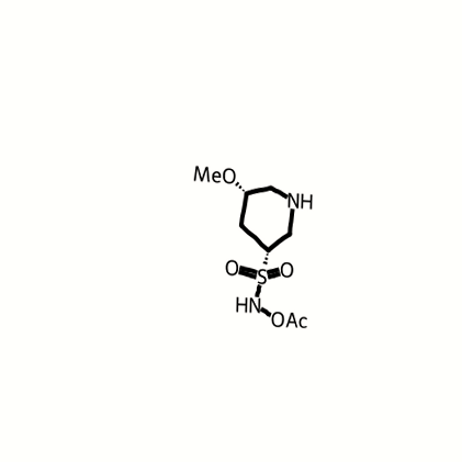 CO[C@@H]1CNC[C@H](S(=O)(=O)NOC(C)=O)C1